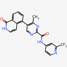 Cc1nc(C(=O)Nc2ccnc(C(F)(F)F)c2)ncc1-c1cccc2c(=O)[nH]ccc12